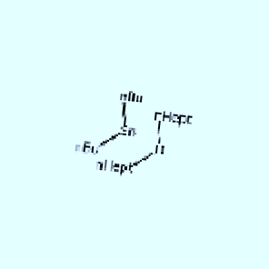 CCCCCCCOCCCCCCC.CCC[CH2][Sn][CH2]CCC